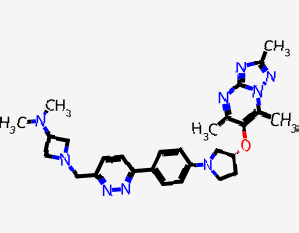 Cc1nc2nc(C)c(O[C@@H]3CCN(c4ccc(-c5ccc(CN6CC(N(C)C)C6)nn5)cc4)C3)c(C)n2n1